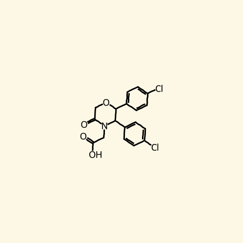 O=C(O)CN1C(=O)COC(c2ccc(Cl)cc2)C1c1ccc(Cl)cc1